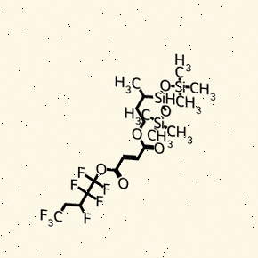 CC(CCOC(=O)C=CC(=O)OC(F)(F)C(F)(F)C(F)CC(F)(F)F)[SiH](O[Si](C)(C)C)O[Si](C)(C)C